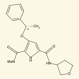 CNC(=O)c1[nH]c(C(=O)NC2CCOC2)cc1O[C@@H](C)c1ccccc1